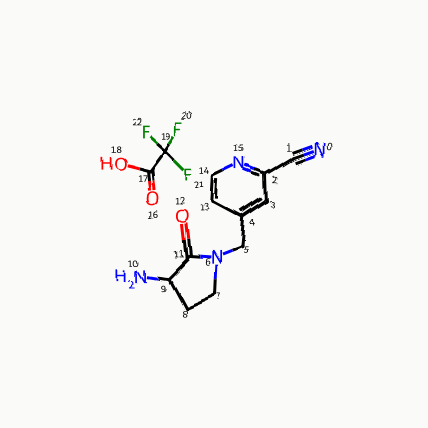 N#Cc1cc(CN2CCC(N)C2=O)ccn1.O=C(O)C(F)(F)F